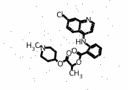 CC(OC(=O)c1ccccc1Nc1ccnc2cc(Cl)ccc12)C(=O)OC1CCN(C)CC1